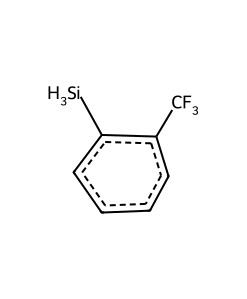 FC(F)(F)c1ccccc1[SiH3]